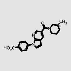 C[C@H]1CCCN(C(=O)c2cnc3c(ccn3-c3ccc(C(=O)O)cc3)c2)C1